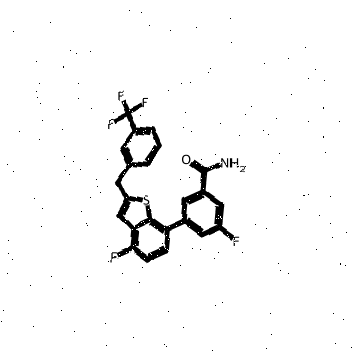 NC(=O)c1cc(F)cc(-c2ccc(F)c3cc(Cc4cccc(C(F)(F)F)c4)sc23)c1